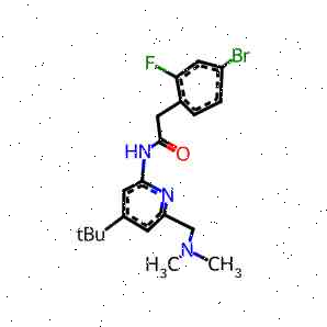 CN(C)Cc1cc(C(C)(C)C)cc(NC(=O)Cc2ccc(Br)cc2F)n1